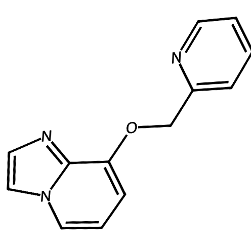 c1ccc(COc2cccn3ccnc23)nc1